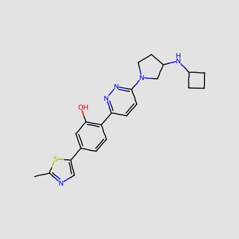 Cc1ncc(-c2ccc(-c3ccc(N4CCC(NC5CCC5)C4)nn3)c(O)c2)s1